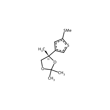 CSc1cc([C@@]2(C)COC(C)(C)O2)cs1